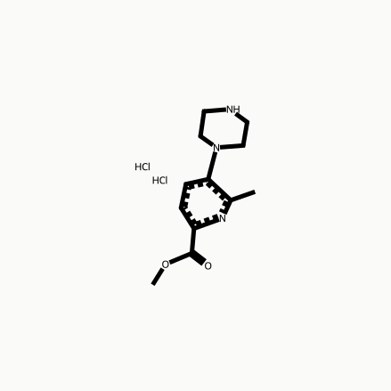 COC(=O)c1ccc(N2CCNCC2)c(C)n1.Cl.Cl